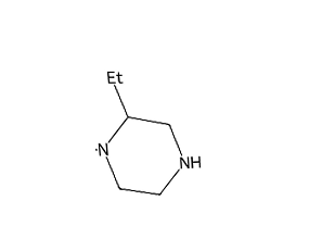 CCC1CNCC[N]1